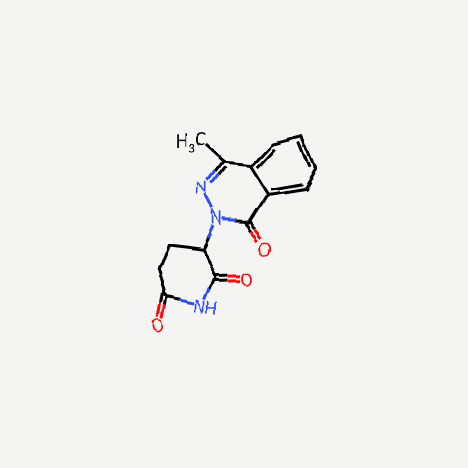 Cc1nn(C2CCC(=O)NC2=O)c(=O)c2ccccc12